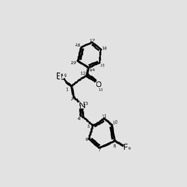 CCC(CN=Cc1ccc(F)cc1)C(=O)c1ccccc1